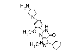 COc1cc(N2CCC(N)CC2)ccc1-c1nc2c(c(C3CCCCC3)nn2C)c(=O)[nH]1